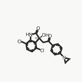 O=C(C[C@@]1(O)C(=O)Nc2c(Cl)ccc(Cl)c21)c1ccc(N2CC2)cc1